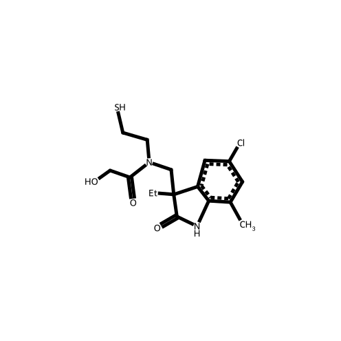 CCC1(CN(CCS)C(=O)CO)C(=O)Nc2c(C)cc(Cl)cc21